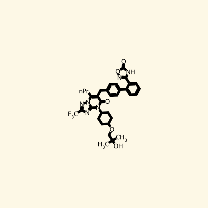 CCCc1c(Cc2ccc(-c3ccccc3-c3noc(=O)[nH]3)cc2)c(=O)n(C2CCC(OCC(C)(C)O)CC2)c2nc(C(F)(F)F)nn12